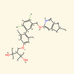 Cc1cc(OCC(C(C)(C)O)C(C)(C)O)cc(C)c1-c1cc(COc2cc3c(cn2)CC(C)C3)c(F)cc1F